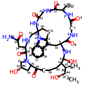 CCC(C)C1NC(=O)CNC(=O)C2Cc3c4n(c5ccccc35)C(CNC(CC(N)=O)C(=O)N3C[C@H](O)CC3C(=O)CCCC([C@@H](C)[C@H](C)O)C(O)N2)(CS4)NC(=O)CNC1=O